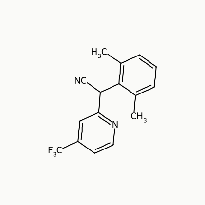 Cc1cccc(C)c1C(C#N)c1cc(C(F)(F)F)ccn1